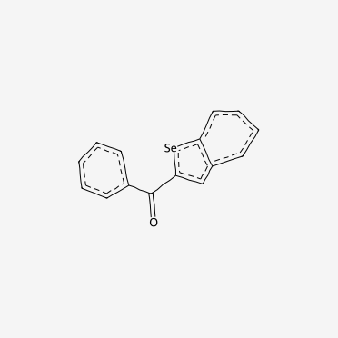 O=C(c1ccccc1)c1cc2ccccc2[se]1